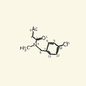 CC(=O)CC(=O)N(C)Cc1ccc(Cl)cc1